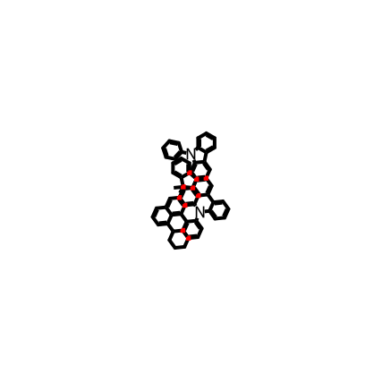 CC1(C)c2ccccc2-c2ccc(-c3ccccc3N(c3cccc(-c4ccc5c6ccccc6n(-c6ccccc6)c5c4)c3)c3ccccc3-c3cccc4cccc(C5CCCCC5)c34)cc21